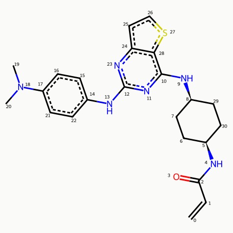 C=CC(=O)N[C@H]1CC[C@@H](Nc2nc(Nc3ccc(N(C)C)cc3)nc3ccsc23)CC1